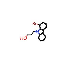 OCCCn1c2ccccc2c2cccc(Br)c21